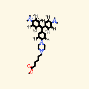 [2H]C1=C([2H])C(=[N+](C)C)C([2H])=C([2H])C1=C(c1cc([2H])c(N2CCN(CCCCCC(=O)OC)CC2)c([2H])c1)c1c([2H])c([2H])c(N(C)C)c([2H])c1[2H]